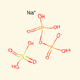 O=P([O-])(O)OP(=O)(O)O.O=S(=O)(O)O.[Na+]